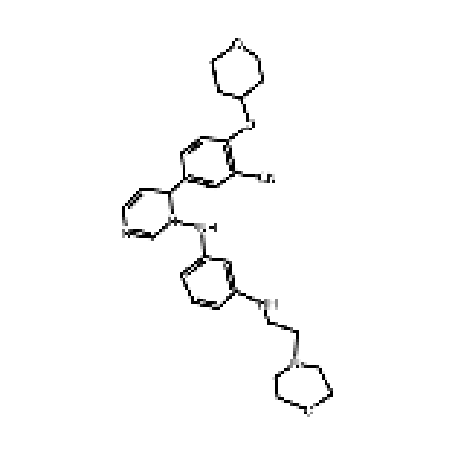 N#Cc1cc(C2C=CN=CN2Nc2cccc(NCCN3CCOCC3)c2)ccc1OC1CCOCC1